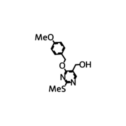 COc1ccc(COc2nc(SC)ncc2CO)cc1